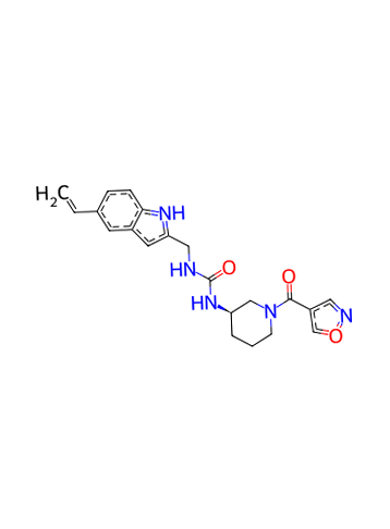 C=Cc1ccc2[nH]c(CNC(=O)N[C@@H]3CCCN(C(=O)c4cnoc4)C3)cc2c1